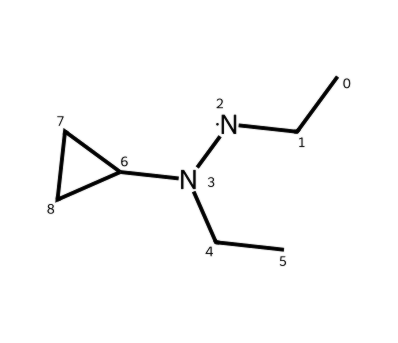 CC[N]N(CC)C1CC1